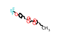 CCCC[C@H]1CO[C@H]([C@H]2CO[C@H](CCc3ccc(OCC(F)(F)F)cc3)OC2)OC1